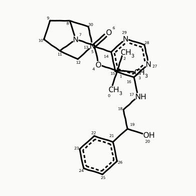 CC(C)(C)OC(=O)N1C2CCC1CN(c1cc(NCC(O)c3ccccc3)ncn1)C2